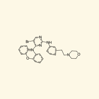 Brc1cnc(Nc2cccc(CCN3CCOCC3)c2)nc1Nc1ccccc1Oc1ccccc1